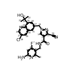 Cc1nc(N)cc(F)c1CNC(=O)c1cn(Cc2cc(C(C)(C)O)c3ncc(Cl)cc3c2)nc1C#N